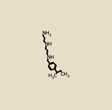 CCC(C)c1ccc(CNCCCNCCCN)cc1